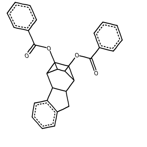 O=C(OC1C2CCC(C1OC(=O)c1ccccc1)C1c3ccccc3CC21)c1ccccc1